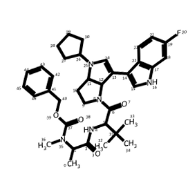 CC(C(=O)NC(C(=O)N1CCC2C1C(c1c[nH]c3cc(F)ccc13)=CN2C1CCCC1)C(C)(C)C)N(C)C(=O)OCc1ccccc1